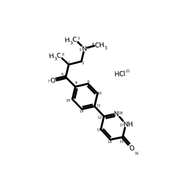 CC(CN(C)C)C(=O)c1ccc(-c2ccc(=O)[nH]n2)cc1.Cl